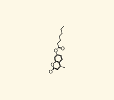 CCCCCCC(=O)Oc1ccc2c(C)cc(=O)oc2c1